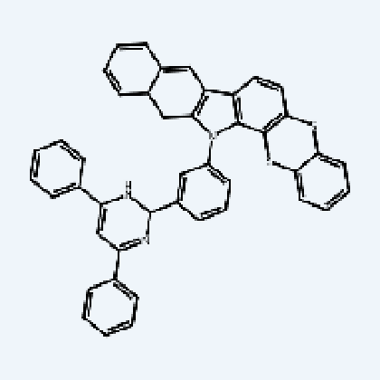 C1=CC2=Cc3c(n(-c4cccc(C5N=C(c6ccccc6)C=C(c6ccccc6)N5)c4)c4c5c(ccc34)Sc3ccccc3S5)CC2C=C1